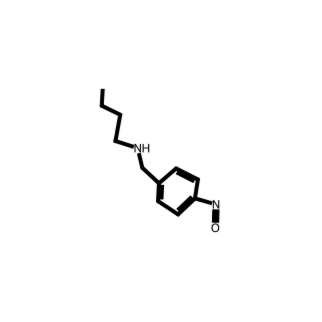 CCCCNCc1ccc(N=O)cc1